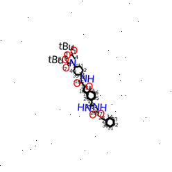 CC(C)(C)OC(=O)CN(C(=O)OC(C)(C)C)[C@H]1CC[C@H](NC(=O)c2cc3cc(C(=N)NC(=O)OCc4ccccc4)ccc3o2)CC1